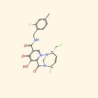 Cc1ccc(CNC(=O)c2cn3c(c(O)c2=O)C(=O)N2CN3[C@H](CF)C=C[C@@H]2C)c(F)c1